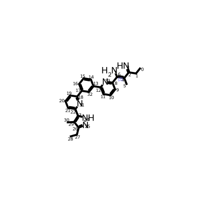 CCC(=N)/C(C)=C(\N)c1cccc(-c2cccc(-c3cccc(-c4[nH]nc(CC)c4C)n3)c2)n1